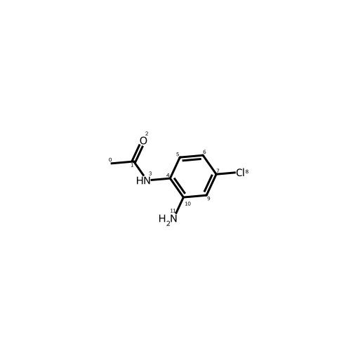 CC(=O)Nc1ccc(Cl)cc1N